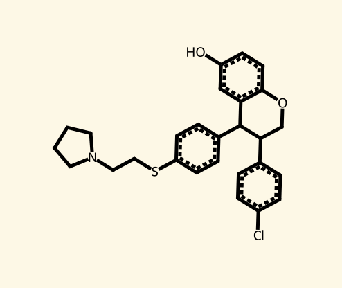 Oc1ccc2c(c1)C(c1ccc(SCCN3CCCC3)cc1)C(c1ccc(Cl)cc1)CO2